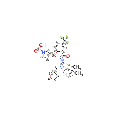 CC(C)(C)c1cn(C[C@H]2CCCO2)/c(=N/C(=O)c2cc(C(F)(F)F)ccc2O[C@H]2CCN(C(=O)O)C2)s1